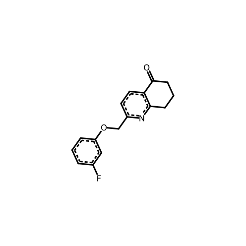 O=C1CCCc2nc(COc3cccc(F)c3)ccc21